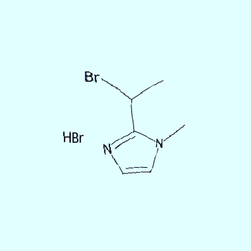 Br.CC(Br)c1nccn1C